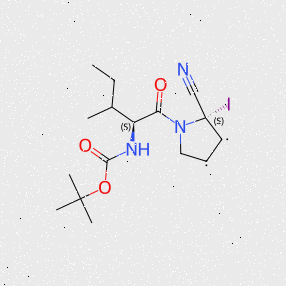 CCC(C)[C@H](NC(=O)OC(C)(C)C)C(=O)N1C[CH][CH][C@]1(I)C#N